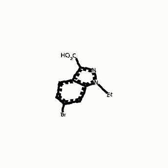 CCn1nc(C(=O)O)c2ccc(Br)cc21